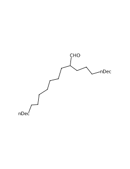 CCCCCCCCCCCCCCCCCC([C]=O)CCCCCCCCCCCCC